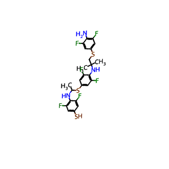 CC(Nc1c(F)cc(S)cc1F)Sc1cc(F)c(NC(C)(C)CSc2cc(F)c(N)c(F)c2)c(F)c1